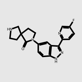 O=C1N(c2ccc3[nH]nc(-c4ccc(F)cn4)c3c2)CCC12CCNC2